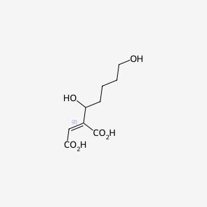 O=C(O)/C=C(\C(=O)O)C(O)CCCCO